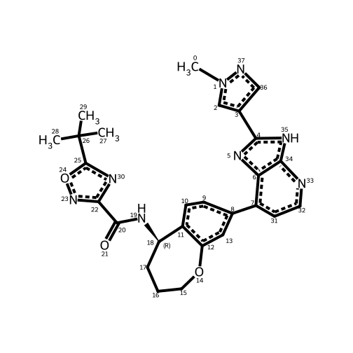 Cn1cc(-c2nc3c(-c4ccc5c(c4)OCCC[C@H]5NC(=O)c4noc(C(C)(C)C)n4)ccnc3[nH]2)cn1